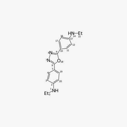 CCNc1ccc(-c2nnc(-c3ccc(NCC)cc3)o2)cc1